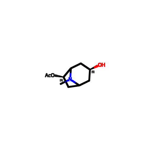 CC(=O)O[C@@H]1CC2C[C@H](O)CC1N2C